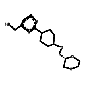 OCc1ccnc(C2CCC(OC[C@H]3COCCO3)CC2)n1